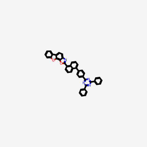 c1ccc(-c2nc(-c3ccccc3)nc(-c3ccc(-c4cccc5c(-c6nc7ccc8c9ccccc9oc8c7o6)cccc45)cc3)n2)cc1